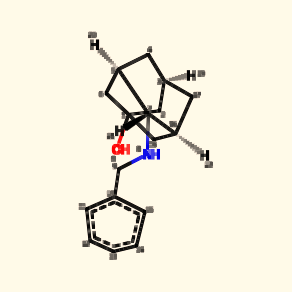 OC12C[C@H]3C[C@H](C1)[C@@H](NCc1ccccc1)[C@@H](C3)C2